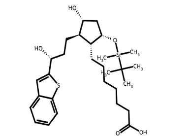 CC(C)(C)[Si](C)(C)O[C@H]1C[C@@H](O)[C@H](CC[C@@H](O)c2cc3ccccc3s2)[C@H]1CCCCCCC(=O)O